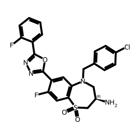 N[C@@H]1CN(Cc2ccc(Cl)cc2)c2cc(-c3nnc(-c4ccccc4F)o3)c(F)cc2S(=O)(=O)C1